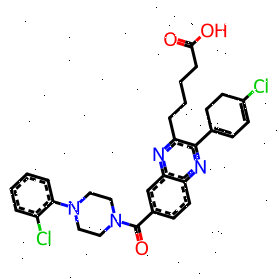 O=C(O)CCCCc1nc2cc(C(=O)N3CCN(c4ccccc4Cl)CC3)ccc2nc1C1=CC=C(Cl)CC1